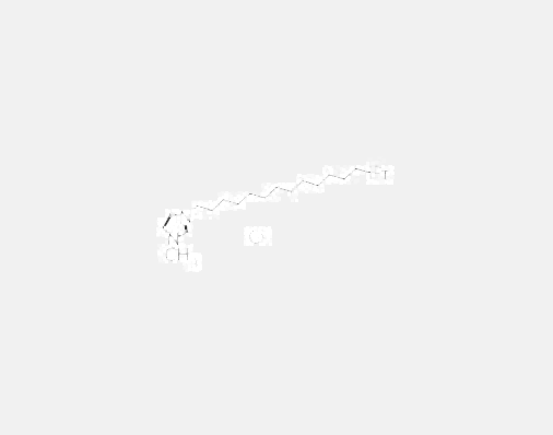 CC(C)CCCCCCCCCCCCC[n+]1ccn(C)c1.[Cl-]